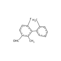 Cc1ccccc1-c1c(F)ccc(C=O)c1C